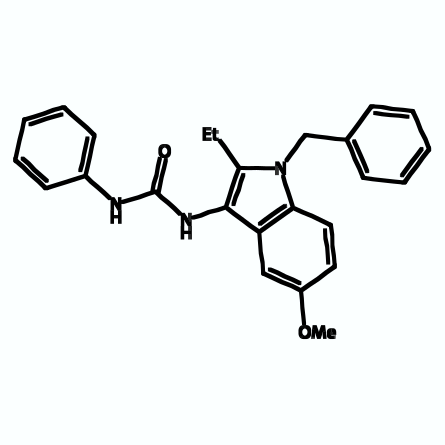 CCc1c(NC(=O)Nc2ccccc2)c2cc(OC)ccc2n1Cc1ccccc1